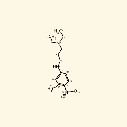 CCN(CC)CCCNc1ccc([N+](=O)[O-])c(C)c1